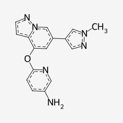 Cn1cc(-c2cc(Oc3ccc(N)cn3)c3ccnn3c2)cn1